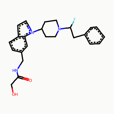 O=C(CO)NCc1ccc2ccn(C3CCN(C(F)Cc4ccccc4)CC3)c2c1